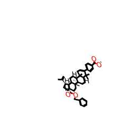 C=C(C)[C@@H]1CC[C@]2(C(=O)OCc3ccccc3)CC[C@]3(C)[C@H](CC[C@@H]4C5(C)CC=C(c6ccc(C(=O)OC)cc6)C(C)(C)[C@@H]5CC[C@]43C)[C@@H]12